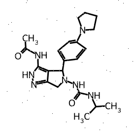 CC(=O)Nc1[nH]nc2c1C(c1ccc(N3CCCC3)cc1)N(NC(=O)NC(C)C)C2